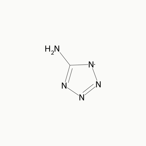 NC1=NN=N[N]1